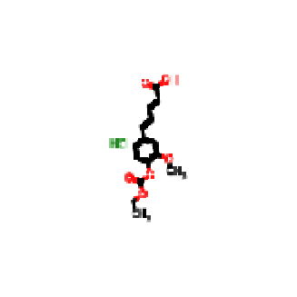 CCOC(=O)Oc1ccc(C=CC=CC(=O)O)cc1OC.Cl